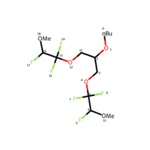 CCCCOC(COC(F)(F)C(F)OC)COC(F)(F)C(F)OC